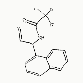 C=CC(NC(=O)C(Cl)(Cl)Cl)c1cccc2ccccc12